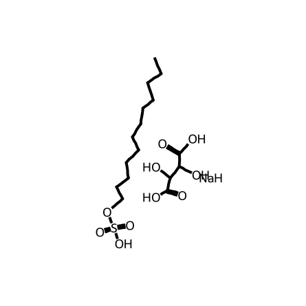 CCCCCCCCCCCCOS(=O)(=O)O.O=C(O)C(O)C(O)C(=O)O.[NaH]